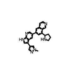 Cn1cc(-c2c[nH]c3ncc(-c4cc(C5CCCN5)c5cnccc5c4)cc23)cn1